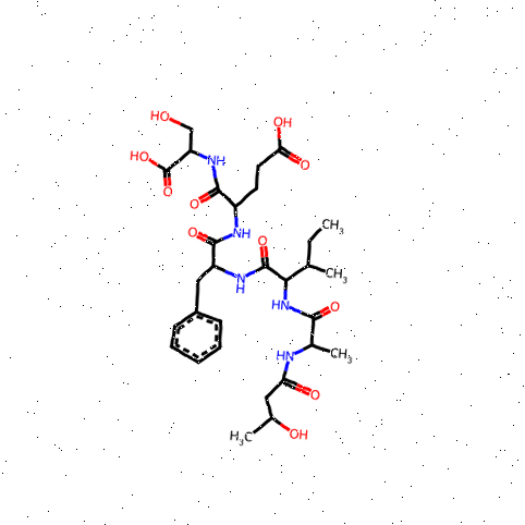 CCC(C)C(NC(=O)C(C)NC(=O)CC(C)O)C(=O)NC(Cc1ccccc1)C(=O)NC(CCC(=O)O)C(=O)NC(CO)C(=O)O